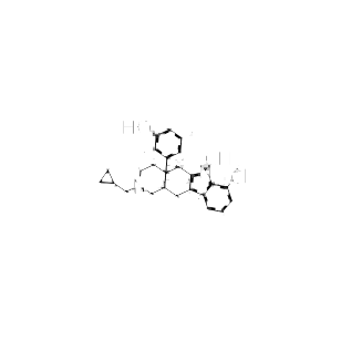 Cn1c2c(c3cccc(Cl)c31)CC1CN(CC3CC3)CCC1(c1cccc(O)c1)C2